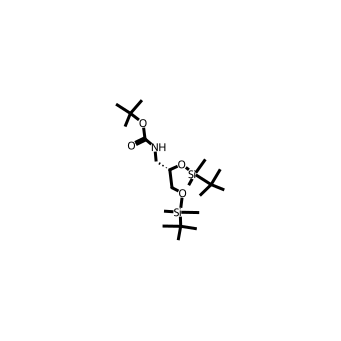 CC(C)(C)OC(=O)NC[C@@H](CO[Si](C)(C)C(C)(C)C)O[Si](C)(C)C(C)(C)C